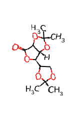 CC1(C)OCC([C@H]2OC(=O)C3OC(C)(C)O[C@@H]32)O1